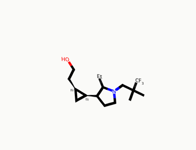 CCC1C([C@H]2C[C@H]2CCO)CCN1CC(C)(C)C(F)(F)F